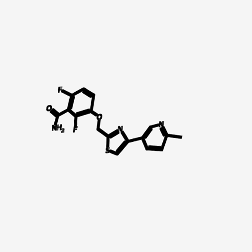 Cc1ccc(-c2csc(COc3ccc(F)c(C(N)=O)c3F)n2)cn1